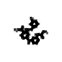 NC(=O)Nc1cccc(Nc2cc(NCc3cccc(F)c3)c(C(N)=O)cn2)c1